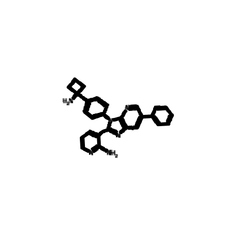 Nc1ncccc1-c1nc2cc(-c3ccccc3)cnc2n1-c1ccc(C2(N)CCC2)cc1